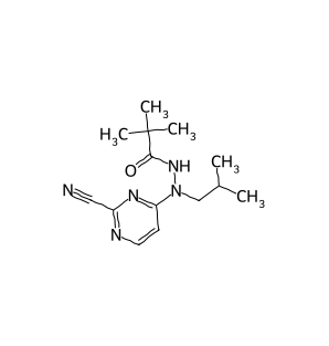 CC(C)CN(NC(=O)C(C)(C)C)c1ccnc(C#N)n1